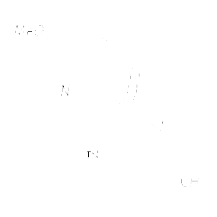 COc1ccc2cc(C)cnc2n1